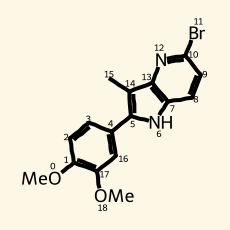 COc1ccc(-c2[nH]c3ccc(Br)nc3c2C)cc1OC